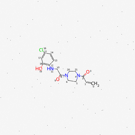 C=CC(=O)N1CCN(C(=O)CNc2ccc(Cl)cc2O)CC1